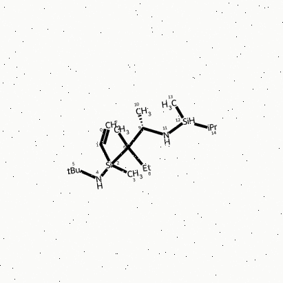 C=C[Si](C)(NC(C)(C)C)C(C)(CC)[C@H](C)N[SiH](C)C(C)C